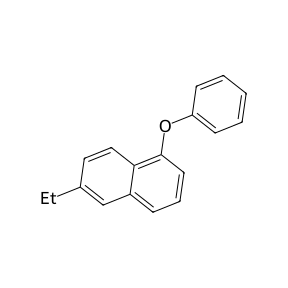 CCc1ccc2c(Oc3ccccc3)cccc2c1